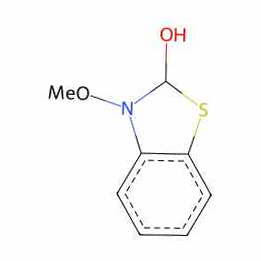 CON1c2ccccc2SC1O